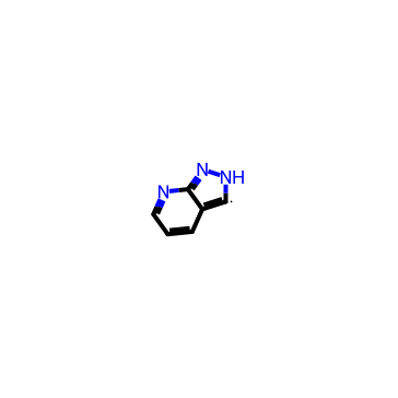 [c]1[nH]nc2ncccc12